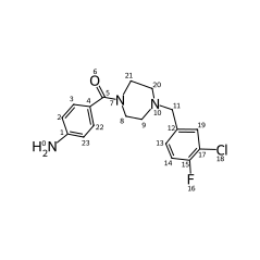 Nc1ccc(C(=O)N2CCN(Cc3ccc(F)c(Cl)c3)CC2)cc1